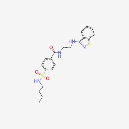 CCCCNS(=O)(=O)c1ccc(C(=O)NCCNc2nsc3ccccc23)cc1